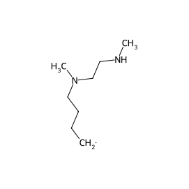 [CH2]CCCN(C)CCNC